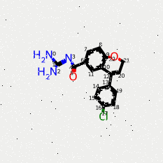 NC(N)=NC(=O)c1ccc2c(c1)C(c1ccc(Cl)cc1)=CCO2